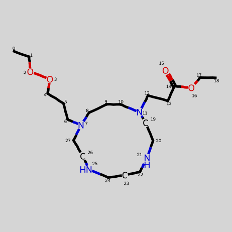 CCOOCCCN1CCCN(CCC(=O)OCC)CCNCCCNCC1